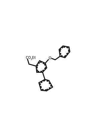 CCOC(=O)Cc1cc(OCc2ccccc2)cc(-c2ccccc2)c1